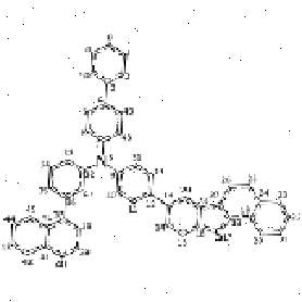 c1ccc(-c2ccc(N(c3ccc(-c4ccc5sc6c7ccccc7ccc6c5c4)cc3)c3cccc(-c4cccc5ccccc45)c3)cc2)cc1